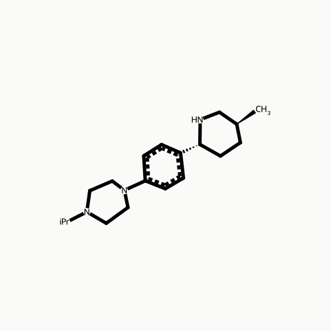 CC(C)N1CCN(c2ccc([C@H]3CC[C@H](C)CN3)cc2)CC1